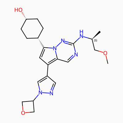 COC[C@H](C)Nc1ncc2c(-c3cnn(C4COC4)c3)cc([C@H]3CC[C@@H](O)CC3)n2n1